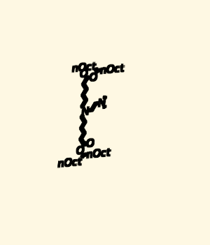 CCCCCCCCC(CCCCCCCC)OC(=O)CCCCCN(CCCCCC(=O)OC(CCCCCCCC)CCCCCCCC)CCN(C)C